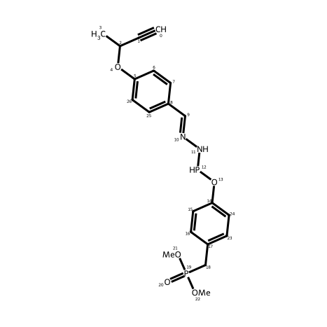 C#CC(C)Oc1ccc(/C=N/NPOc2ccc(CP(=O)(OC)OC)cc2)cc1